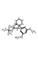 COc1cc(OC)cc(C2(NC(=O)OC(C)(C)C)CCCCC2=O)c1